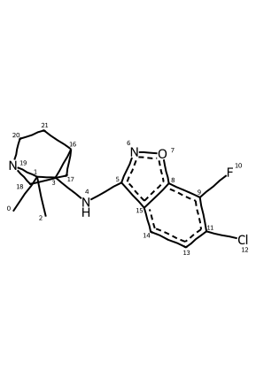 CC1(C)C(Nc2noc3c(F)c(Cl)ccc23)C2CCN1CC2